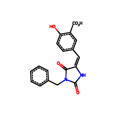 O=C(O)c1cc(C=C2NC(=O)N(Cc3ccccc3)C2=O)ccc1O